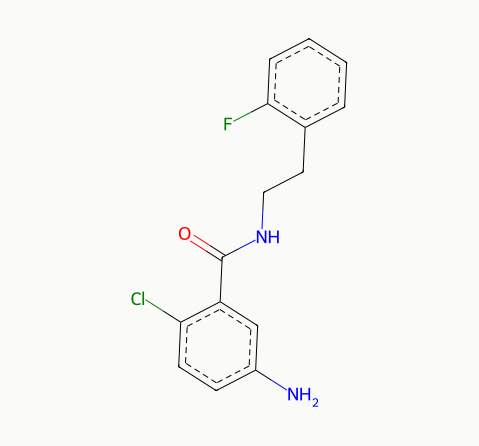 Nc1ccc(Cl)c(C(=O)NCCc2ccccc2F)c1